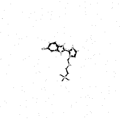 CS(C)(C)CCOCn1ccnc1-c1nc2ccc(Br)cc2o1